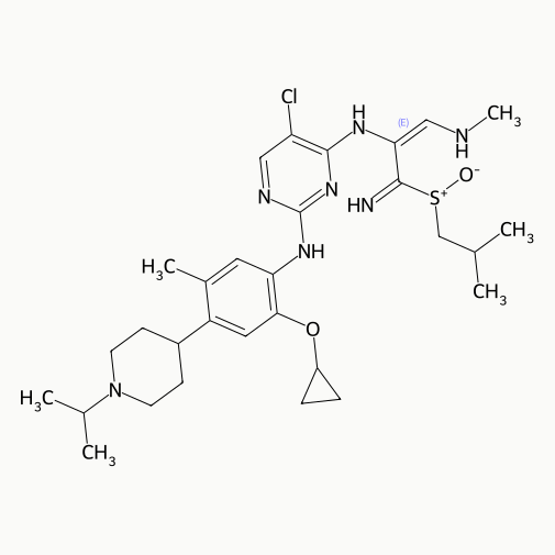 CN/C=C(/Nc1nc(Nc2cc(C)c(C3CCN(C(C)C)CC3)cc2OC2CC2)ncc1Cl)C(=N)[S+]([O-])CC(C)C